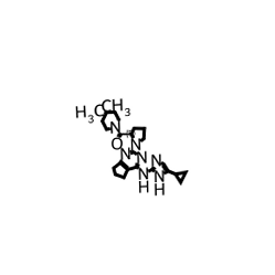 CC1(C)CCN(C(=O)[C@H]2CCCN2c2nc3c(c(Nc4ncc(C5CC5)[nH]4)n2)CCC3)CC1